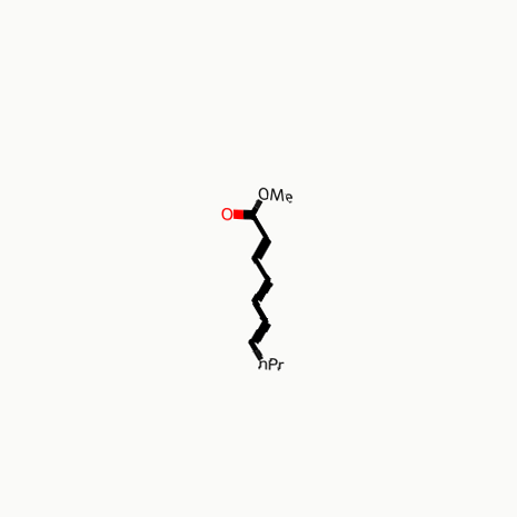 CCCC=CC=CC=CC(=O)OC